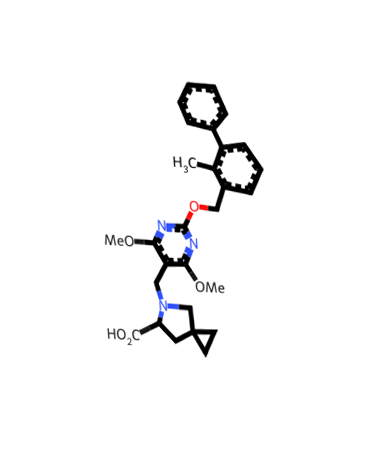 COc1nc(OCc2cccc(-c3ccccc3)c2C)nc(OC)c1CN1CC2(CC2)CC1C(=O)O